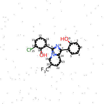 Oc1ccccc1-c1nc(-c2cccc(Cl)c2O)n2cc(C(F)(F)F)ccc12